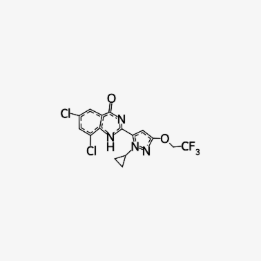 O=c1nc(-c2cc(OCC(F)(F)F)nn2C2CC2)[nH]c2c(Cl)cc(Cl)cc12